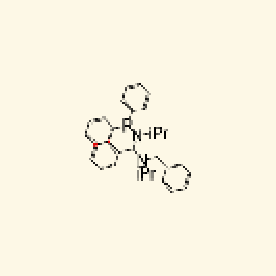 CC(C)N(Cc1ccccc1)C(c1ccccc1)N(C(C)C)P(c1ccccc1)c1ccccc1